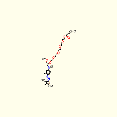 CCN(CC(COC(C)C)OCCOCCOCCOCCOCCOC(=O)CCC=O)c1ccc(/N=N/c2sc(C#N)c(C)c2C#N)c(C)c1